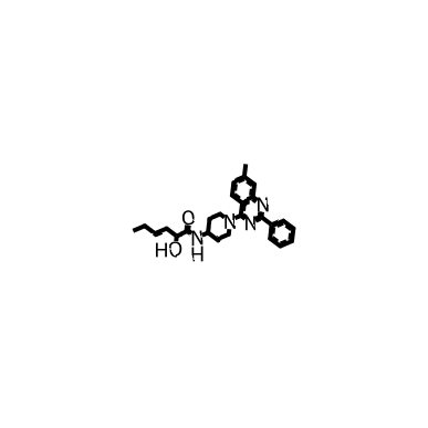 CCCCC(O)C(=O)NC1CCN(c2nc(-c3ccccc3)nc3cc(C)ccc23)CC1